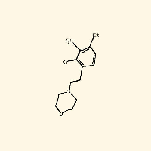 CCc1ccc(CCN2CCOCC2)c(Cl)c1C(F)(F)F